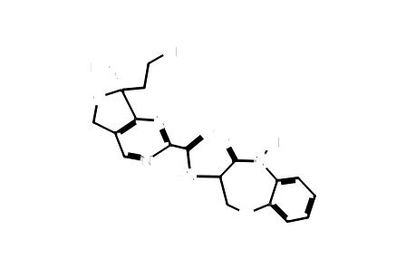 CCC[C@]1(C)OCc2cnc(C(=O)NC3COc4ccccc4N(C)C3=O)nc21